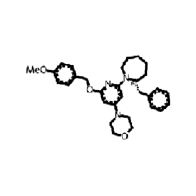 COc1ccc(COc2cc(N3CCOCC3)cc(N3CCCCC[C@@H]3Cc3ccccc3)n2)cc1